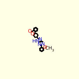 COc1ccccc1-c1ncc2nc(C3CCC4(CC3)OC(=O)c3ccccc34)[nH]c2n1